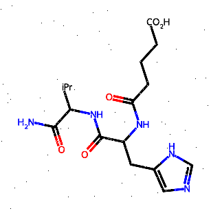 CC(C)C(NC(=O)C(Cc1cnc[nH]1)NC(=O)CCCC(=O)O)C(N)=O